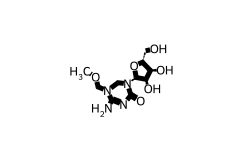 COCN1CN([C@@H]2O[C@H](CO)[C@@H](O)[C@H]2O)C(=O)N=C1N